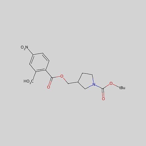 CC(C)(C)OC(=O)N1CCC(COC(=O)c2ccc([N+](=O)[O-])cc2C(=O)O)C1